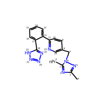 CCCc1nc(C)nn1Cc1ccc(-c2ccccc2-c2nnn[nH]2)nc1